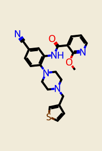 COc1ncccc1C(=O)Nc1cc(C#N)ccc1N1CCN(Cc2ccsc2)CC1